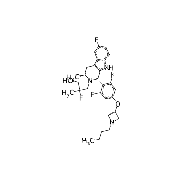 CCCCN1CC(Oc2cc(F)c([C@H]3c4[nH]c5ccc(F)cc5c4C[C@H](C)N3CC(C)(F)CO)c(F)c2)C1